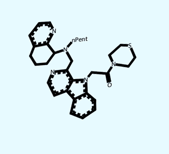 CCCCCN(Cc1nccc2c3ccccc3n(CC(=O)N3CCSCC3)c12)C1CCCc2cccnc21